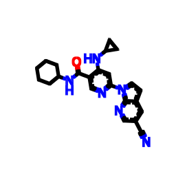 N#Cc1cnc2c(ccn2-c2cc(NC3CC3)c(C(=O)NC3CCCCC3)cn2)c1